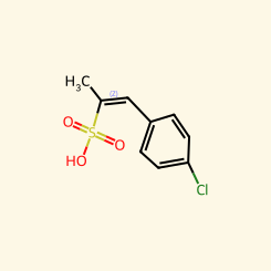 C/C(=C/c1ccc(Cl)cc1)S(=O)(=O)O